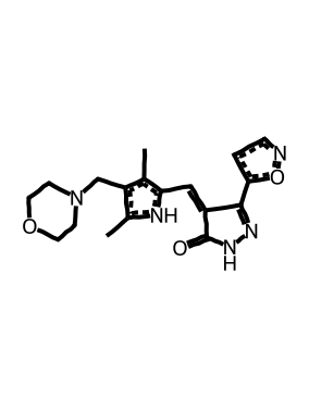 Cc1[nH]c(C=C2C(=O)NN=C2c2ccno2)c(C)c1CN1CCOCC1